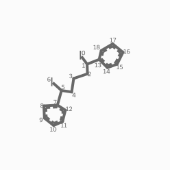 IC(CCCC(I)c1ccccc1)c1ccccc1